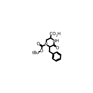 CC(C)(C)OC(=O)N1CC(C(=O)O)NC(=O)C1Cc1ccccc1